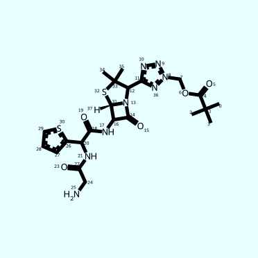 CC(C)(C)C(=O)OCn1nnc(C2N3C(=O)C(NC(=O)C(NC(=O)CN)c4cccs4)[C@@H]3SC2(C)C)n1